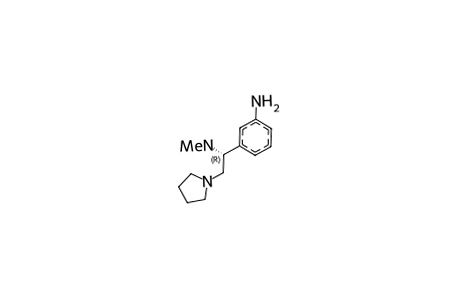 CN[C@@H](CN1CCCC1)c1cccc(N)c1